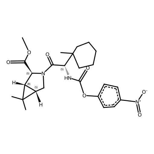 COC(=O)[C@@H]1[C@@H]2[C@H](CN1C(=O)[C@@H](NC(=O)Oc1ccc([N+](=O)[O-])cc1)C1(C)CCCCC1)C2(C)C